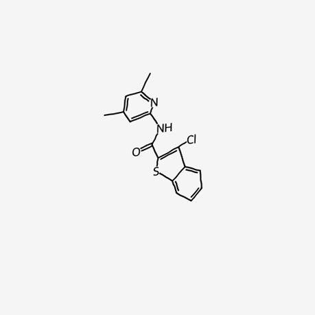 Cc1cc(C)nc(NC(=O)c2sc3ccccc3c2Cl)c1